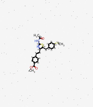 COC(=O)c1ccc(C=Cc2nc(NC(C)=O)sc2Cc2ccc(SC)cc2)cc1